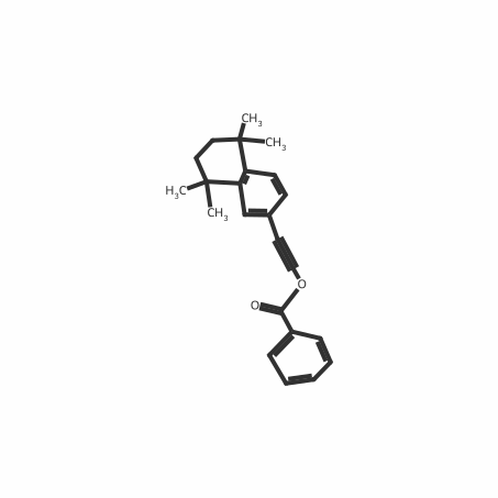 CC1(C)CCC(C)(C)c2cc(C#COC(=O)c3ccccc3)ccc21